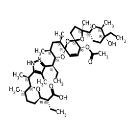 CC[C@@H](C(=O)O)[C@H]1CC[C@H](C)[C@H]([C@@H](C)c2[nH]nc([C@H](CC)[C@H]3O[C@]4(C=C[C@@H](OC(C)=O)[C@]5(CC[C@@](C)([C@H]6CC[C@](O)(CC)[C@H](C)O6)O5)O4)[C@H](C)C[C@@H]3C)c2C)O1